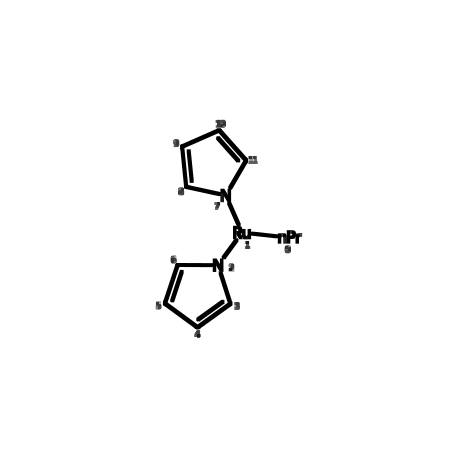 CC[CH2][Ru]([n]1cccc1)[n]1cccc1